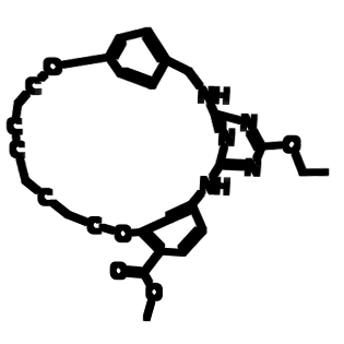 CCOc1nc2nc(n1)Nc1ccc(C(=O)OC)c(c1)OCCCCCCCCOc1ccc(cc1)CN2